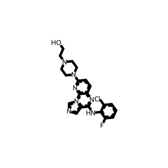 OCCN1CCN(c2ccc3nc(Nc4c(F)cccc4Cl)c4cncn4c3n2)CC1